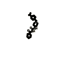 CC(C)c1ccc(CN2CCC(NC(=O)NC(=O)c3ccccc3)CC2)cc1